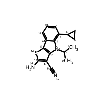 CC(C)n1c2c(C3CC3)cccc2c2sc(N)c(C#N)c21